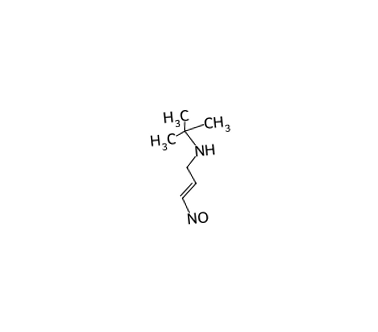 CC(C)(C)NCC=CN=O